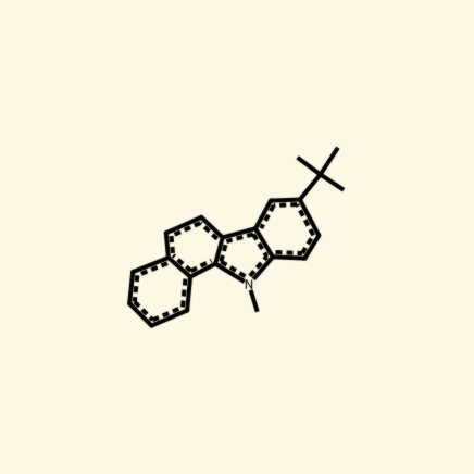 Cn1c2ccc(C(C)(C)C)cc2c2ccc3ccccc3c21